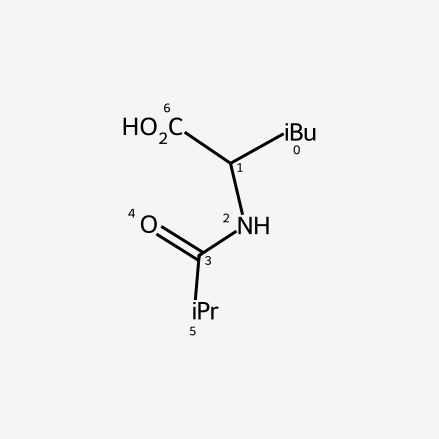 CCC(C)C(NC(=O)C(C)C)C(=O)O